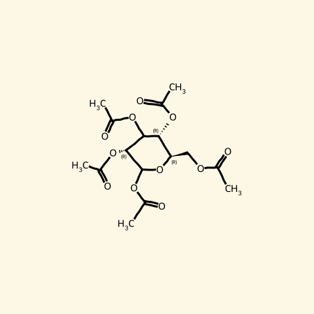 CC(=O)OC[C@H]1OC(OC(C)=O)[C@H](OC(C)=O)C(OC(C)=O)[C@@H]1OC(C)=O